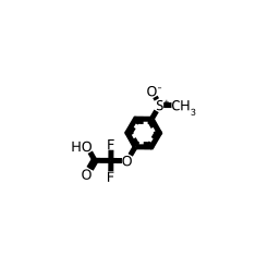 C[S+]([O-])c1ccc(OC(F)(F)C(=O)O)cc1